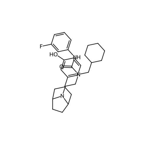 O=C(Nc1cccc(F)c1)N(CCN1C2CCC1CC(c1cccc(O)c1)C2)CC1CCCCC1